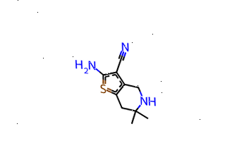 CC1(C)Cc2sc(N)c(C#N)c2CN1